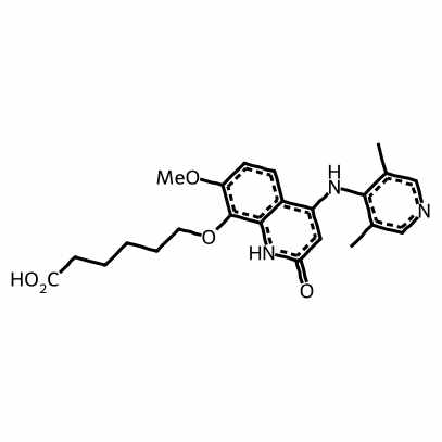 COc1ccc2c(Nc3c(C)cncc3C)cc(=O)[nH]c2c1OCCCCCC(=O)O